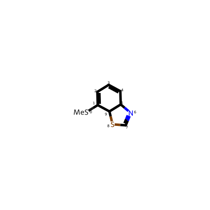 CSC1=CC=CC2N=CSC12